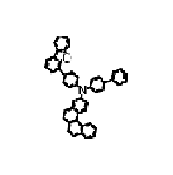 c1ccc(-c2ccc(N(c3ccc(-c4cccc5c4oc4ccccc45)cc3)c3ccc4c(ccc5ccc6ccccc6c54)c3)cc2)cc1